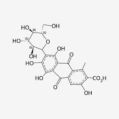 Cc1c(C(=O)O)c(O)cc2c1C(=O)c1c(O)c(C3O[C@@H](CO)[C@H](O)[C@@H](O)[C@@H]3O)c(O)c(O)c1C2=O